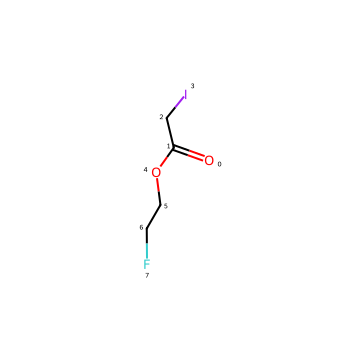 O=C(CI)OCCF